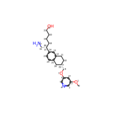 COc1cncc(OC[C@H]2CCc3cc([C@H](CN)CCCCO)ccc3C2)c1